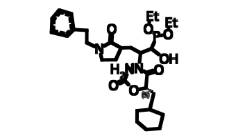 CCOP(OCC)C(O)C(CC1CCN(CCc2ccccc2)C1=O)NC(=O)[C@H](CC1CCCCC1)OC(N)=O